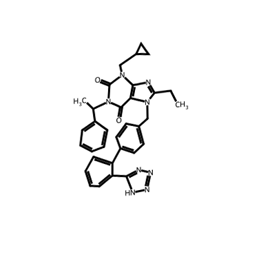 CCc1nc2c(c(=O)n(C(C)c3ccccc3)c(=O)n2CC2CC2)n1Cc1ccc(-c2ccccc2-c2nnn[nH]2)cc1